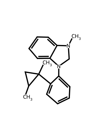 CC1CC1(C)c1ccccc1N1CN(C)c2ccccc21